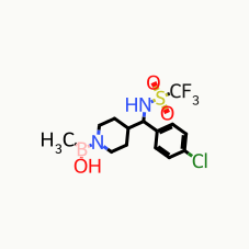 CB(O)N1CCC(C(NS(=O)(=O)C(F)(F)F)c2ccc(Cl)cc2)CC1